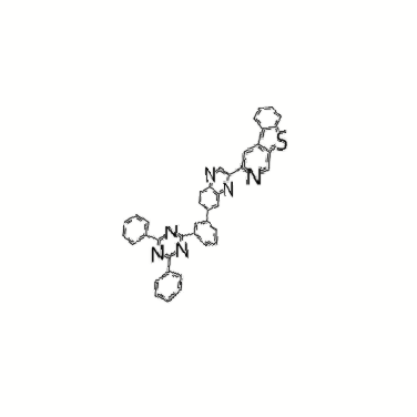 c1ccc(-c2nc(-c3ccccc3)nc(-c3cccc(-c4ccc5ncc(-c6cc7c(cn6)sc6ccccc67)nc5c4)c3)n2)cc1